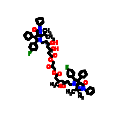 C=C(CC(=O)OCC(=O)COC(=O)C[C@H](O)C/C(O)=C\Cn1c(-c2ccc(F)cc2)c(-c2ccccc2)c(C(=O)Nc2ccccc2)c1C(C)C)C[C@H](O)CCn1c(-c2ccc(F)cc2)c(-c2ccccc2)c(C(=O)Nc2ccccc2)c1C(C)C